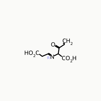 C=CC(=O)C(/N=C/CC(=O)O)C(=O)O